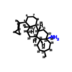 CC(=C1CC1)[C@H]1CCC[C@H]2[C@@H]3CC[C@]4(N)CC[C@@H](C)CC[C@@H]4[C@H]3CC[C@]12C